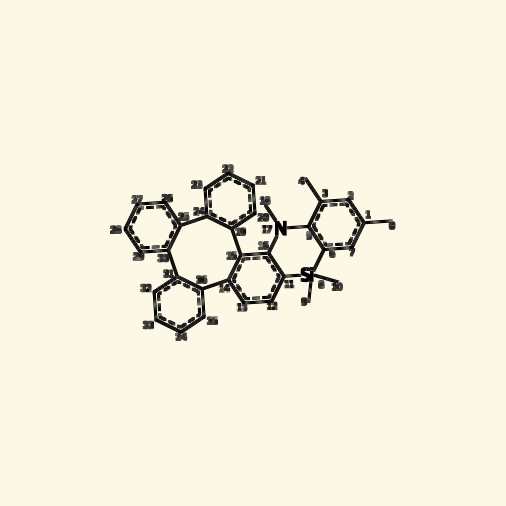 Cc1cc(C)c2c(c1)[Si](C)(C)c1ccc3c(c1N2C)-c1ccccc1-c1ccccc1-c1ccccc1-3